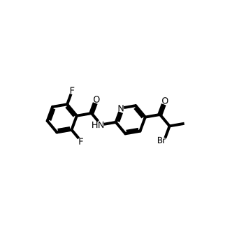 CC(Br)C(=O)c1ccc(NC(=O)c2c(F)cccc2F)nc1